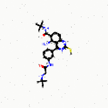 CSc1nc(-c2cccc(NC(=O)CNC(C)(C)C)c2)c2c(N)c(C(=O)NC(C)(C)C)ccc2n1